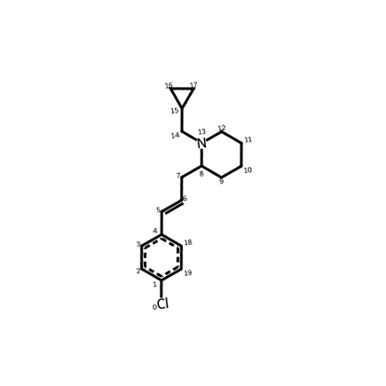 Clc1ccc(C=CCC2CCCCN2CC2CC2)cc1